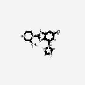 CC1CNCCN1c1nc2cc(Cl)cc(-n3cncn3)c2o1